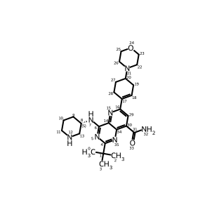 CC(C)(C)c1nc(N[C@H]2CCCNC2)c2nc(C3=CCC(N4CCOCC4)CC3)cc(C(N)=O)c2n1